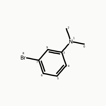 CN(C)c1[c]ccc(Br)c1